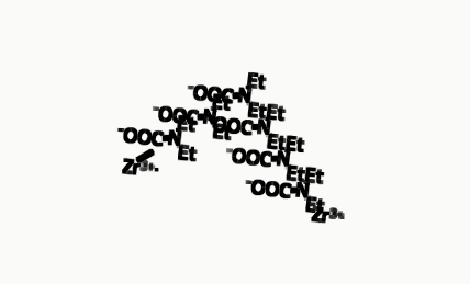 CC.CCN(CC)C(=O)[O-].CCN(CC)C(=O)[O-].CCN(CC)C(=O)[O-].CCN(CC)C(=O)[O-].CCN(CC)C(=O)[O-].CCN(CC)C(=O)[O-].[Zr+3].[Zr+3]